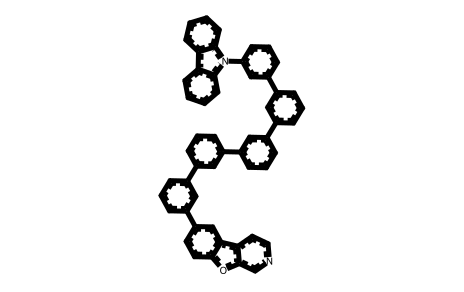 c1cc(-c2cccc(-c3cccc(-c4ccc5oc6cnccc6c5c4)c3)c2)cc(-c2cccc(-c3cccc(-n4c5ccccc5c5ccccc54)c3)c2)c1